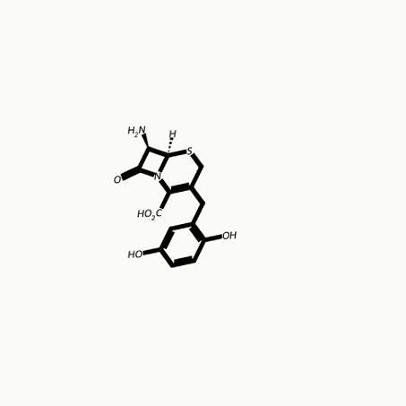 N[C@@H]1C(=O)N2C(C(=O)O)=C(Cc3cc(O)ccc3O)CS[C@H]12